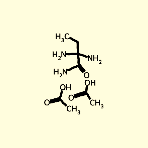 CC(=O)O.CC(=O)O.CCC(N)(N)C(N)=O